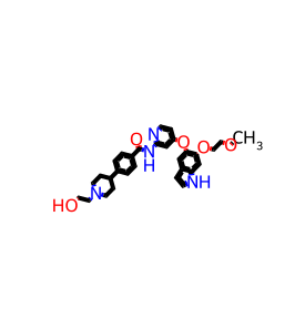 COCCOc1cc2[nH]ccc2cc1Oc1ccnc(NC(=O)c2ccc(C3CCN(CCO)CC3)cc2)c1